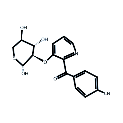 N#Cc1ccc(C(=O)c2ncccc2O[C@@H]2[C@@H](O)[C@H](O)CS[C@H]2O)cc1